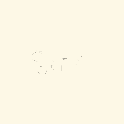 CC(C)(C)C(CCC#CCOC1CCCCO1)C(O[SiH3])(c1ccccc1)c1ccccc1